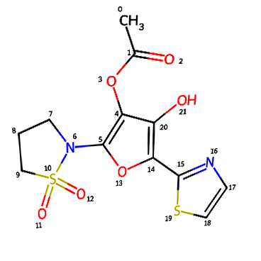 CC(=O)Oc1c(N2CCCS2(=O)=O)oc(-c2nccs2)c1O